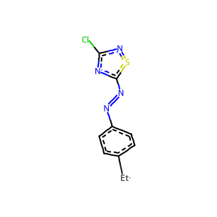 C[CH]c1ccc(N=Nc2nc(Cl)ns2)cc1